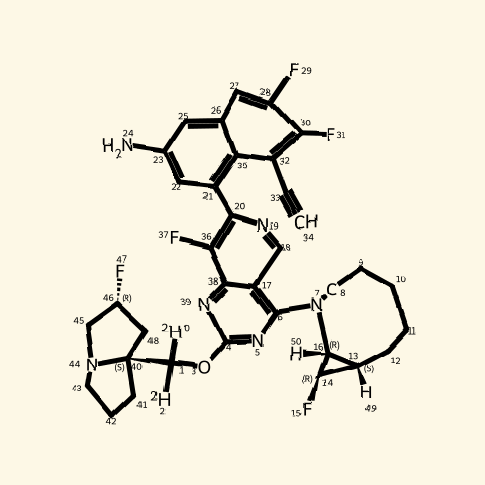 [2H]C([2H])(Oc1nc(N2CCCCC[C@@H]3[C@@H](F)[C@@H]32)c2cnc(-c3cc(N)cc4cc(F)c(F)c(C#C)c34)c(F)c2n1)[C@@]12CCCN1C[C@H](F)C2